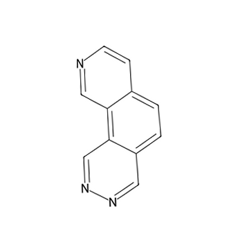 c1cc2ccc3cnncc3c2cn1